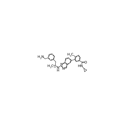 Cc1ccc(C(=O)NC2CC2)cc1-c1ccc2nc(N[C@@H](C)Cc3cccc(CN)c3)ncc2c1